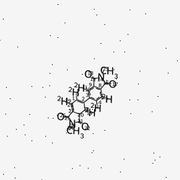 [2H]C1=C(c2c([2H])c([2H])c3c(c2[2H])C(=O)N(C)C3=O)C([2H])C2C(=O)N(C)C(=O)C2=C1[2H]